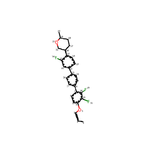 C/C=C\Oc1ccc(-c2ccc(-c3ccc(C4CCC(C)OC4)c(F)c3)cc2)c(F)c1F